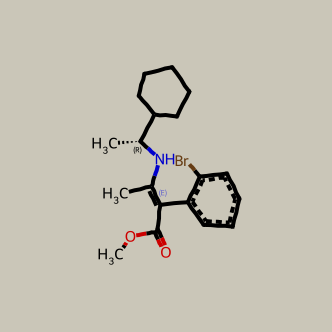 COC(=O)/C(=C(\C)N[C@H](C)C1CCCCC1)c1ccccc1Br